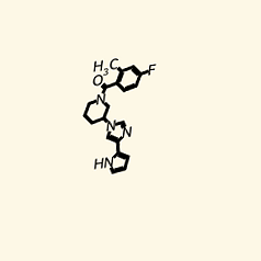 Cc1cc(F)ccc1C(=O)N1CCCC(n2cnc(-c3ccc[nH]3)c2)C1